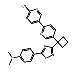 CN(C)c1ccc(-c2nc(C3(c4ccc(-c5cnc(N)nc5)nc4)CCC3)no2)cn1